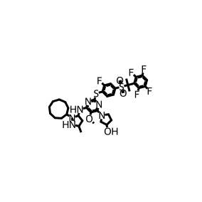 COc1c(NC2CC(C)NN2C2CCCCCCCC2)nc(Sc2ccc(S(=O)(=O)C(C)(C)c3c(F)c(F)cc(F)c3F)cc2F)nc1N1CCC(O)C1